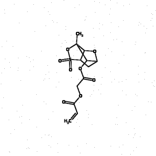 C=CC(=O)OCC(=O)OC1C2CC3C(O2)C1(C)OS3(=O)=O